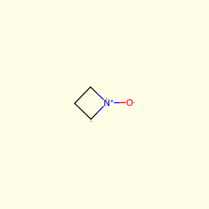 [O][N+]1[CH]CC1